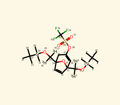 [2H]C([2H])(O[Si](C)(C)C(C)(C)C)C12C=CC(C([2H])([2H])O[Si](C)(C)C(C)(C)C)(CC(OS(=O)(=O)C(F)(F)F)=C1)O2